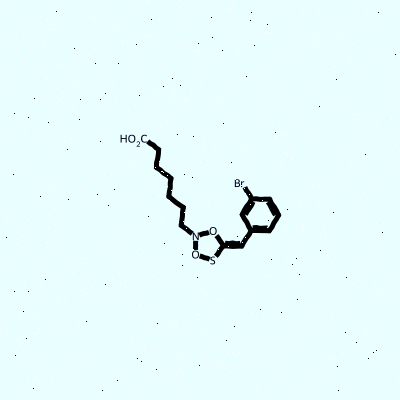 O=C(O)CCCCCCN1OSC(=Cc2cccc(Br)c2)O1